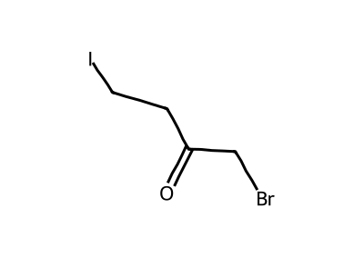 O=C(CBr)CCI